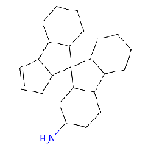 NC1CCC2C3CCCCC3C3(C4CC=CC4C4CCCCC43)C2C1